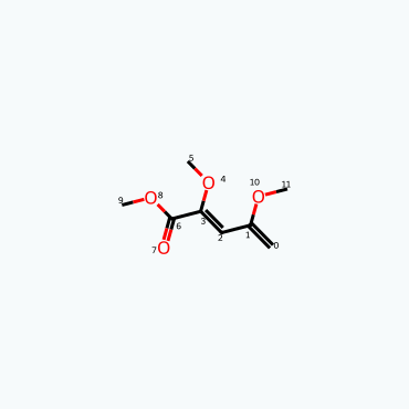 C=C(/C=C(\OC)C(=O)OC)OC